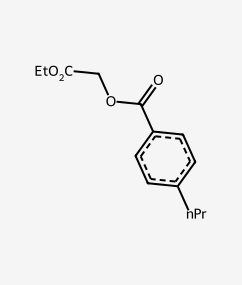 CCCc1ccc(C(=O)OCC(=O)OCC)cc1